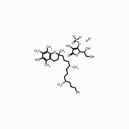 Cc1c(C)c2c(c(C)c1O)CC[C@@](C)(CCC[C@H](C)CCC[C@H](C)CCCC(C)C)O2.O=C1O[C@H]([C@@H](O)CO)C(OP(=O)([O-])[O-])=C1O.[K+].[K+]